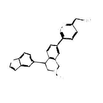 CN1Cc2cc(-c3ccc(CN)nn3)ccc2C(c2ccc3sccc3c2)C1